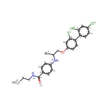 CCC(C)C(COc1ccc(-c2ccc(Cl)cc2Cl)c(F)c1)Nc1ccc(C(=O)NCCC(=O)O)cc1